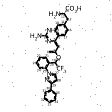 C=C(/C=C(\N=C(N)N)c1ccc(C[C@H](N)C(=O)O)cc1)OC(c1ccccc1-n1ccc(-c2ccccc2)n1)C(F)(F)F